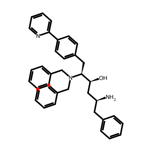 N[C@@H](Cc1ccccc1)C[C@H](O)[C@H](Cc1ccc(-c2ccccn2)cc1)N(Cc1ccccc1)Cc1ccccc1